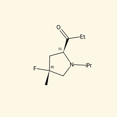 CCC(=O)[C@@H]1C[C@@](C)(F)CN1C(C)C